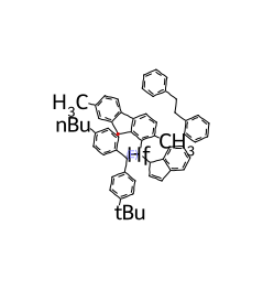 CCCCc1ccc(/[C](c2ccc(C(C)(C)C)cc2)=[Hf](\[c]2c(C)ccc3c2Cc2cc(C)ccc2-3)[CH]2C=Cc3ccccc32)cc1.c1ccc(CCc2ccccc2)cc1